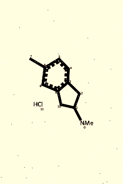 CNC1Cc2ccc(C)cc2C1.Cl